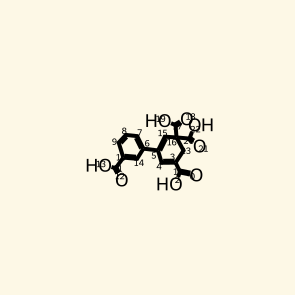 O=C(O)C1=CC(c2cccc(C(=O)O)c2)=CC(C(=O)O)(C(=O)O)C1